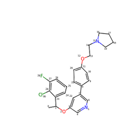 CC(Oc1[c]ncc(-c2ccc(OCCN3CCCC3)cc2)c1)c1cccc(F)c1Cl